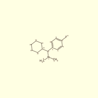 CN(C)C(c1ccc(F)cc1)C1CCCCC1